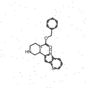 O=C(OCc1ccccc1)N1CCNCC1c1cc2ncccc2[nH]1